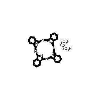 O=[S](=O)(O)[Co][S](=O)(=O)O.c1ccc2c(c1)-c1nc-2nc2[nH]c(nc3nc(nc4[nH]c(n1)c1ccccc41)-c1ccccc1-3)c1ccccc21